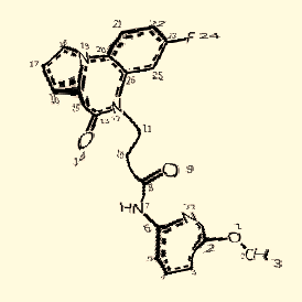 COc1cccc(NC(=O)CCn2c(=O)c3cccn3c3ccc(F)cc32)n1